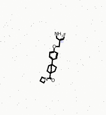 NC/C(=C\F)COc1ccc(C23CCC(C(=O)N4CCC4)(CC2)CC3)cc1